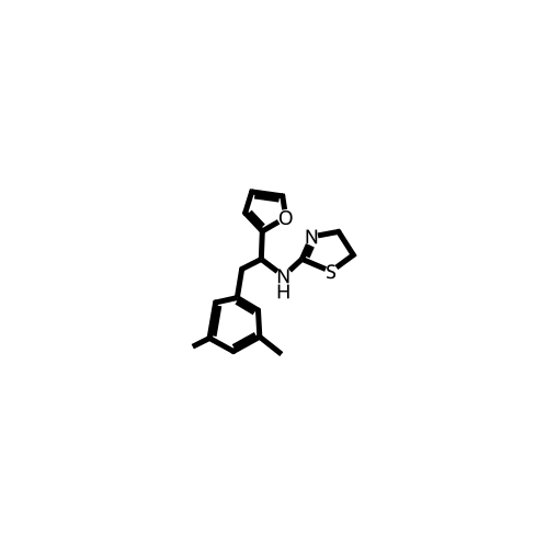 Cc1cc(C)cc(CC(NC2=NCCS2)c2ccco2)c1